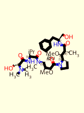 CC[C@H](C)[C@@H]([C@@H](CC(=O)N1CCC[C@H]1[C@H](OC)[C@@H](C)C(=O)N[C@H](CO)Cc1ccccc1)OC)N(C)C(=O)[C@@H](NC(=O)[C@@H](CO)N(C)C)C(C)C